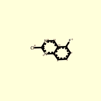 Fc1cccc2nc(Cl)n[c]c12